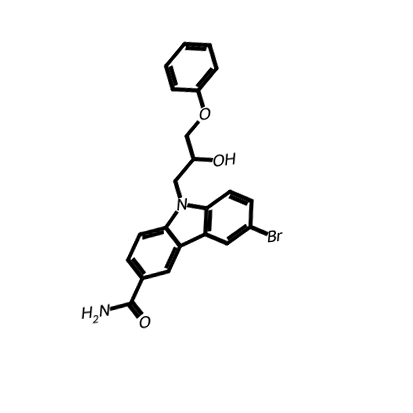 NC(=O)c1ccc2c(c1)c1cc(Br)ccc1n2CC(O)COc1ccccc1